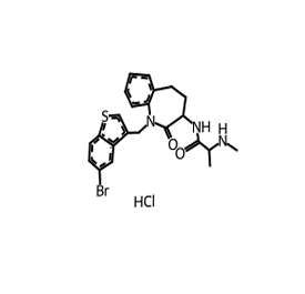 CNC(C)C(=O)NC1CCc2ccccc2N(Cc2csc3ccc(Br)cc23)C1=O.Cl